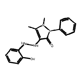 Cc1c(NNc2ccccc2O)c(=O)n(-c2ccccc2)n1C